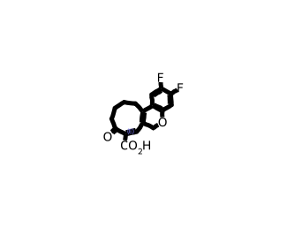 O=C(O)/C1=C/C2=C(CCCCC1=O)c1cc(F)c(F)cc1OC2